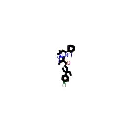 CCC(CC)(CCC(=O)c1c(C)nn2c1N[C@@H](c1ccccc1)CC2(C)C)c1ccc(Cl)cc1